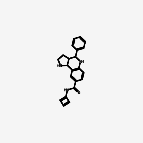 O=C(NC1=CC=C1)c1ccc2c(c1)C1NCCC1C(c1ccccc1)N2